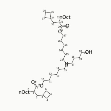 CCCCCCCCC(CC1CCC1)C(=O)OCCCCCCN(CCCCO)CCCCCCOC(=O)C(CCCCCCCC)CC1CCC1